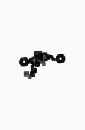 COCC(=O)N(CC(C)(C)N1CCN(CCc2ccccc2)CC1)c1ccccc1